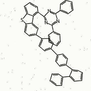 c1ccc(-c2nc(-c3ccccc3)nc(-c3cccc4sc5ccc(-c6ccc(-c7ccc(-c8ccccc8-c8ccccc8)cc7)cc6)cc5c34)n2)cc1